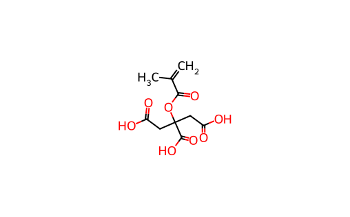 C=C(C)C(=O)OC(CC(=O)O)(CC(=O)O)C(=O)O